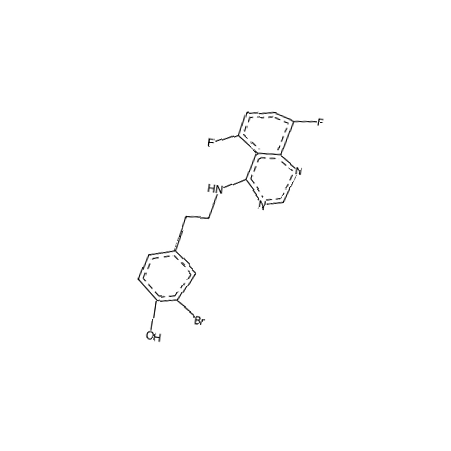 Oc1ccc(CCNc2ncnc3c(F)ccc(F)c23)cc1Br